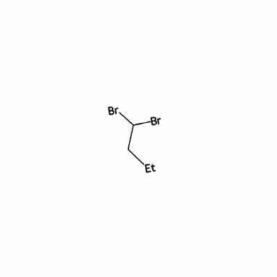 CCCC(Br)Br